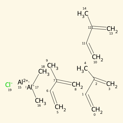 C=CC(=C)C.C=CC(=C)C.C=CC(=C)C.[Al+2].[CH3][Al-][CH3].[Cl-]